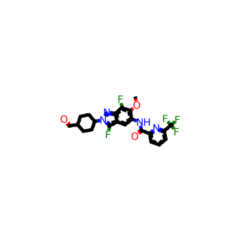 COc1c(NC(=O)c2cccc(C(F)(F)F)n2)cc2c(F)n(C3CCC(C=O)CC3)nc2c1F